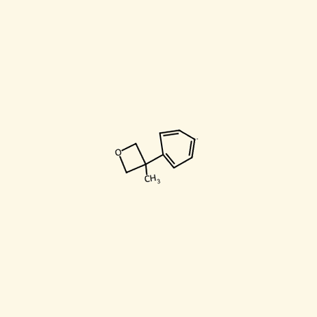 CC1(c2cc[c]cc2)COC1